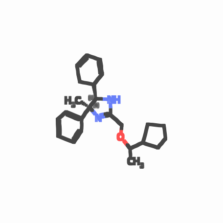 CC(OCC1=N[C@@](C)(c2ccccc2)[C@@H](C2C=CC=CC2)N1)C1CCCC1